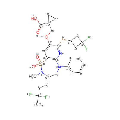 CN1[C@@H](CCC(C)(F)F)CN(c2ccccc2)c2nc(SC3CC(F)(F)C3)c(OCC3(C(=O)O)CC3)cc2S1(=O)=O